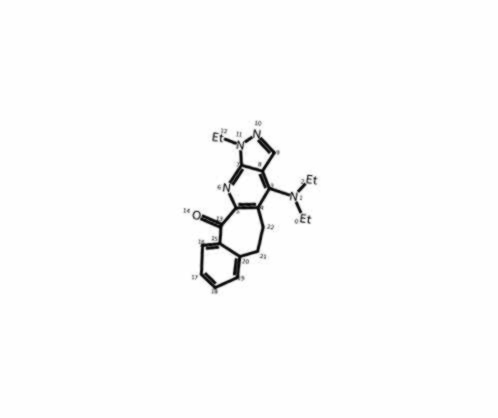 CCN(CC)c1c2c(nc3c1cnn3CC)C(=O)c1ccccc1CC2